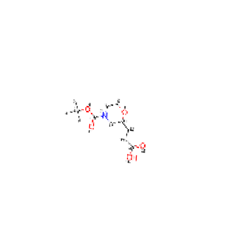 CC(C)(C)OC(=O)N1CCOC(CCC(=O)O)C1